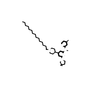 CCCCCCCCCCCCCCC(=O)N1CCC(c2cc(N3CCC(F)(F)C3)nc(N(C)c3cc(C)ccn3)c2)CC1